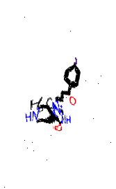 C[N+]1(CCCC(=O)c2ccc(I)cc2)CNC(=O)C12CCNCC2